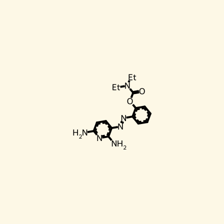 CCN(CC)C(=O)Oc1ccccc1N=Nc1ccc(N)nc1N